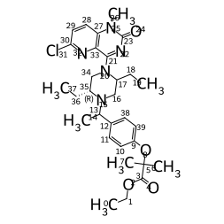 CCOC(=O)C(C)(C)Oc1ccc(C(C)N2CC(CC)N(c3nc(=O)n(C)c4ccc(Cl)nc34)C[C@H]2CC)cc1